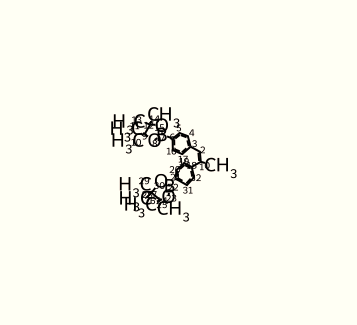 CC(=Cc1ccc(B2OC(C)(C)C(C)(C)O2)cc1)c1ccc(B2OC(C)(C)C(C)(C)O2)cc1